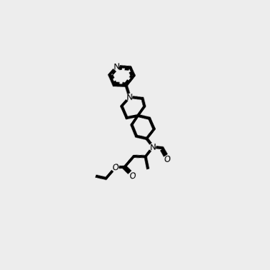 CCOC(=O)CC(C)N(C=O)C1CCC2(CC1)CCN(c1ccncc1)CC2